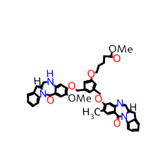 COC(=O)CCCCOc1cc(COc2cc3c(cc2C)C(=O)N2c4ccccc4C[C@H]2C=N3)cc(COc2cc3c(cc2OC)C(=O)N2c4ccccc4C[C@H]2CN3)c1